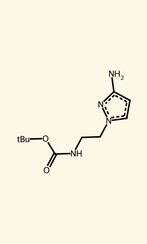 CC(C)(C)OC(=O)NCCn1ccc(N)n1